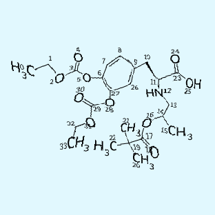 CCOC(=O)Oc1ccc(C[C@H](NCC(C)OC(=O)C(C)(C)C)C(=O)O)cc1OC(=O)OCC